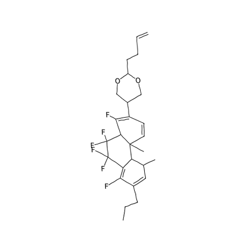 C=CCCC1OCC(C2=C(F)C3C(C)(C=C2)C2C(=C(F)C(CCC)=CC2C)C(F)(F)C3(F)F)CO1